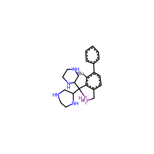 CC(C)(C)c1c(-c2ccccc2)ccc(CP)c1C(P)(C1CNCCN1)C1CNCCN1